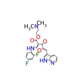 CN(C)CCOC(=O)C1=C(Nc2ccc(F)cc2F)O/C(=C\c2c[nH]c3ncccc23)C1=O